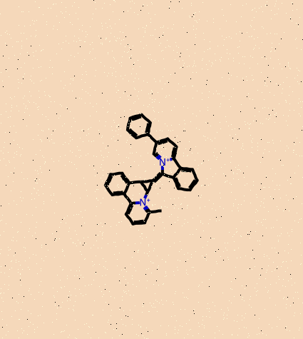 Cc1cccc2[n+]1C1/C(=C3\c4ccccc4-c4ccc(-c5ccccc5)c[n+]43)C1c1ccccc1-2